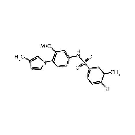 COc1cc(NS(=O)(=O)C2=CC=C(Cl)C(C)C2)ccc1-n1cnc(C)c1